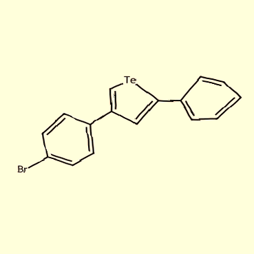 Brc1ccc(-c2c[te]c(-c3ccccc3)c2)cc1